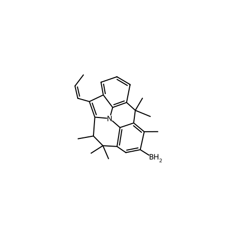 Bc1cc2c3c(c1C)C(C)(C)c1cccc4c(/C=C\C)c(n-3c14)C(C)C2(C)C